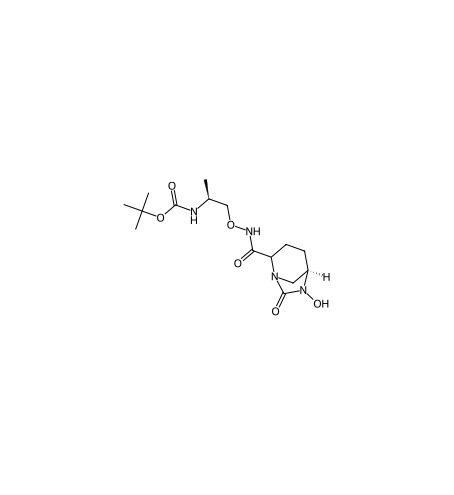 C[C@@H](CONC(=O)C1CC[C@@H]2CN1C(=O)N2O)NC(=O)OC(C)(C)C